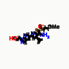 COCCC[S+]([O-])c1sc2nc(-c3cnc4c(cnn4CCO)c3)cc(C3CC3)c2c1N